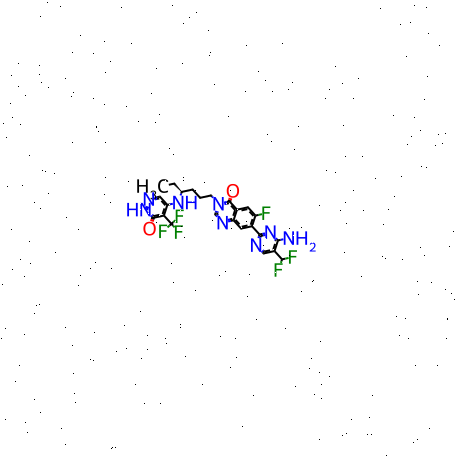 CC[C@@H](CCCn1cnc2cc(-c3ncc(C(F)F)c(N)n3)c(F)cc2c1=O)Nc1cn[nH]c(=O)c1C(F)(F)F